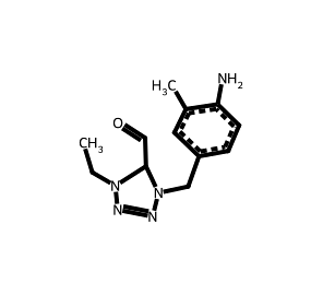 CCN1N=NN(Cc2ccc(N)c(C)c2)C1C=O